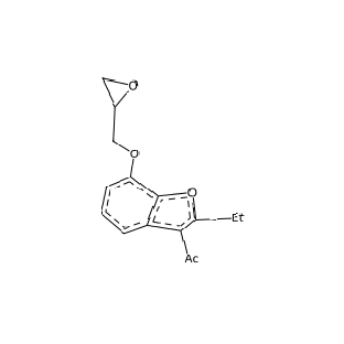 CCc1oc2c(OCC3CO3)cccc2c1C(C)=O